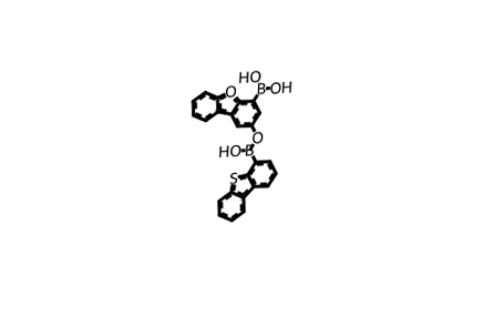 OB(O)c1cc(OB(O)c2cccc3c2sc2ccccc23)cc2c1oc1ccccc12